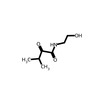 CC(C)C(=O)C(=O)NCCO